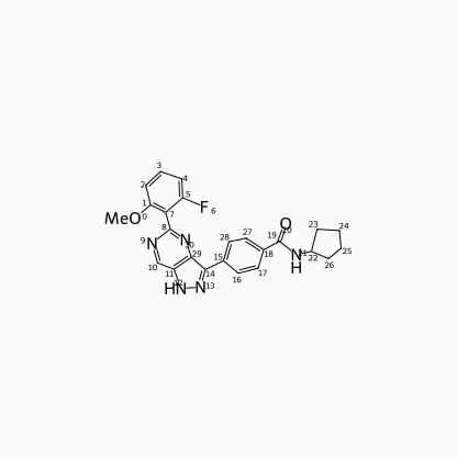 COc1cccc(F)c1-c1ncc2[nH]nc(-c3ccc(C(=O)NC4CCCC4)cc3)c2n1